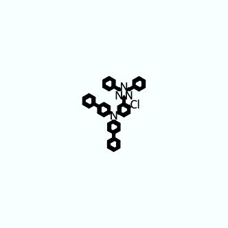 Clc1ccc(N(c2ccc(-c3ccccc3)cc2)c2ccc(-c3ccccc3)cc2)cc1-c1nc(-c2ccccc2)nc(-c2ccccc2)n1